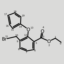 CCOC(=O)c1cccc(CBr)c1Oc1ccccc1